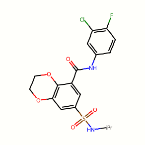 CC(C)NS(=O)(=O)c1cc2c(c(C(=O)Nc3ccc(F)c(Cl)c3)c1)OCCO2